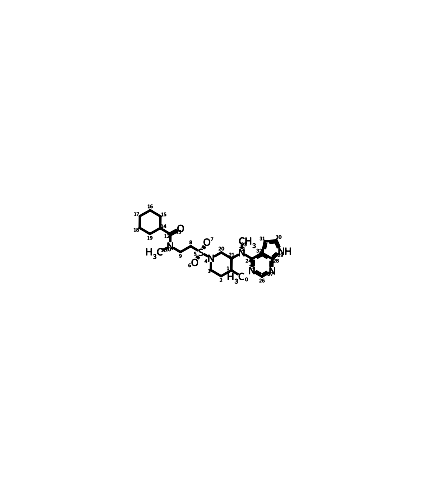 CC1CCN(S(=O)(=O)CCN(C)C(=O)C2CCCCC2)CC1N(C)c1ncnc2[nH]ccc12